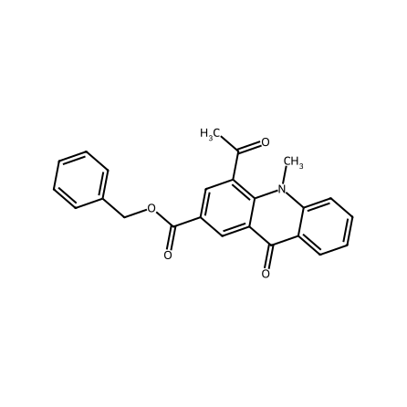 CC(=O)c1cc(C(=O)OCc2ccccc2)cc2c(=O)c3ccccc3n(C)c12